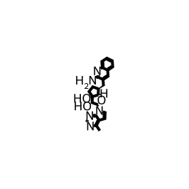 Cc1ncnc2c1ccn2[C@@H]1O[C@@H]2[C@H](Cc3cc4ccccc4nc3N)CC[C@]2(O)[C@H]1O